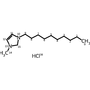 CCCCCCCCCCN1C=CN(C)C1.Cl